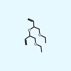 C=CC(COCC)OC(C=C)COCC